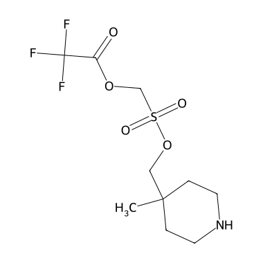 CC1(COS(=O)(=O)COC(=O)C(F)(F)F)CCNCC1